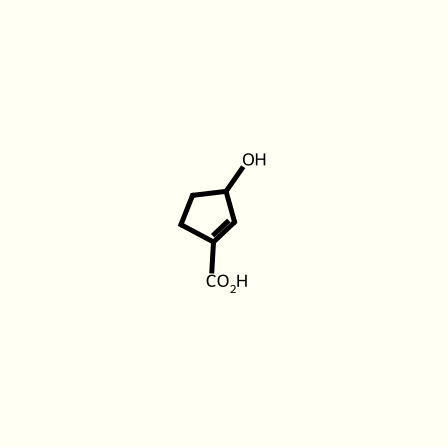 O=C(O)C1=CC(O)CC1